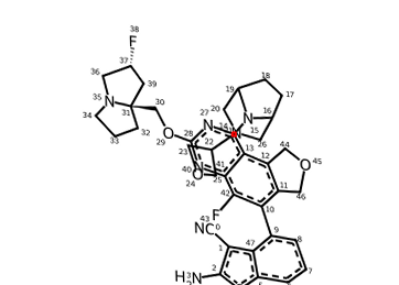 N#Cc1c(N)sc2cccc(-c3c4c(c5c(N6C7CCC6CN(C6COC6)C7)nc(OC[C@@]67CCCN6C[C@H](F)C7)nc5c3F)COC4)c12